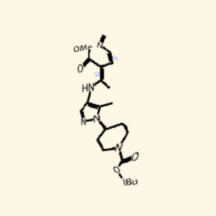 C=N/C=C\C(C(=O)OC)=C(/C)Nc1cnn(C2CCN(C(=O)OC(C)(C)C)CC2)c1C